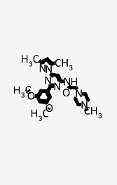 COc1cc(OC)cc(-c2nc(NC(=O)CN3CCN(C)CC3)cc(-n3nc(C)cc3C)n2)c1